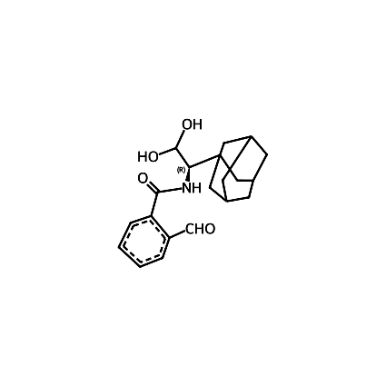 O=Cc1ccccc1C(=O)N[C@@H](C(O)O)C12CC3CC(CC(C3)C1)C2